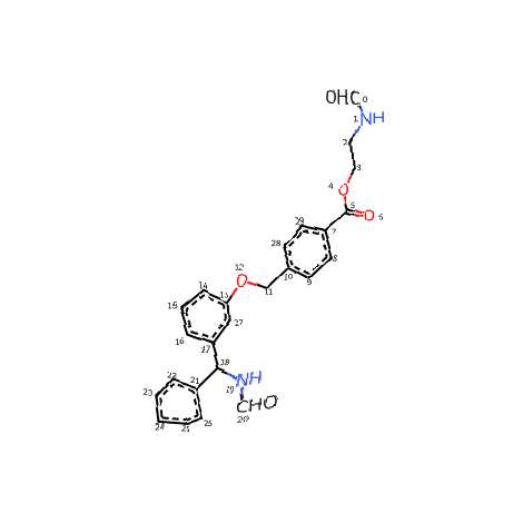 O=CNCCOC(=O)c1ccc(COc2cccc(C(NC=O)c3ccccc3)c2)cc1